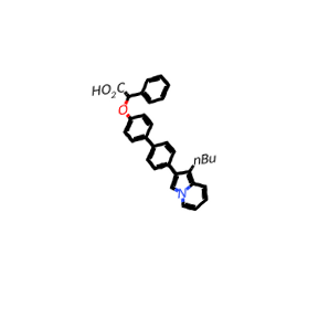 CCCCc1c(-c2ccc(-c3ccc(OC(C(=O)O)c4ccccc4)cc3)cc2)cn2ccccc12